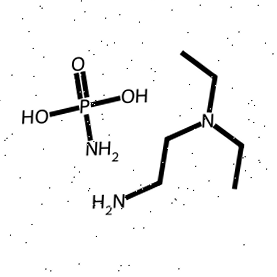 CCN(CC)CCN.NP(=O)(O)O